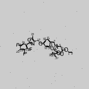 CCOC(=O)CN(Cc1ccc(OCc2nc(-c3cc(F)c(C)c(F)c3F)oc2C)cc1)S(=O)(=O)N(C)C